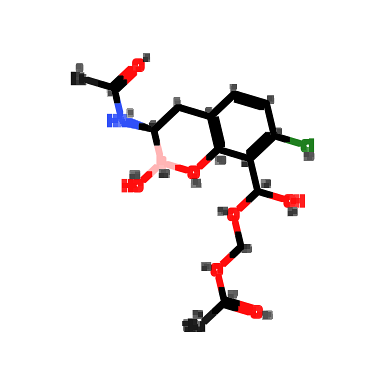 CCC(=O)N[C@H]1Cc2ccc(Cl)c(C(O)OCOC(=O)C(C)(C)C)c2OB1O